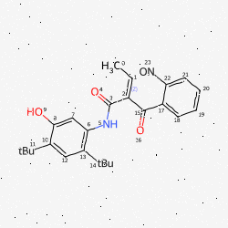 C/C=C(\C(=O)Nc1cc(O)c(C(C)(C)C)cc1C(C)(C)C)C(=O)c1ccccc1N=O